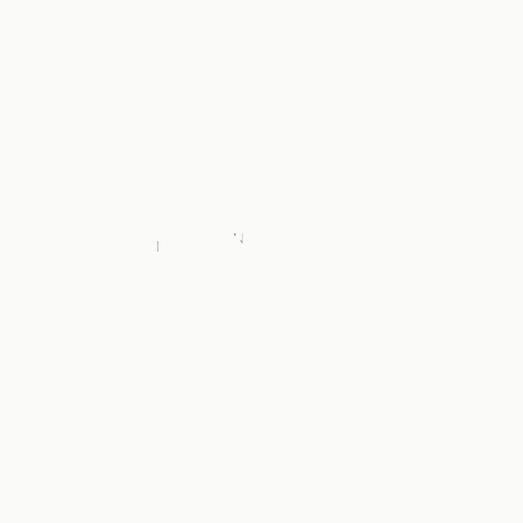 C[n+]1c(I)ccc2ccccc21